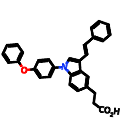 O=C(O)CCc1ccc2c(c1)c(C=Cc1ccccc1)cn2-c1ccc(Oc2ccccc2)cc1